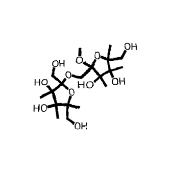 COC1(COC2(CO)OC(C)(CO)C(C)(O)C2(C)O)OC(C)(CO)C(C)(O)C1(C)O